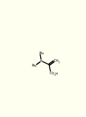 C=C(C(=O)O)N(C(C)CC)C(C)CC